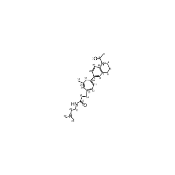 CC(=O)N1CCCc2cc(C3=CC=C(CCC(=O)NCCN(C)C)C=C(C)C3)ccc21